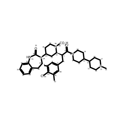 Cc1cc(CC(C(=O)N2CCC(C3CCN(C)CC3)CC2)[C@H]2CC(N3CCc4ccccc4NC3=O)CCN2C(=O)O)cc(C)c1Cl